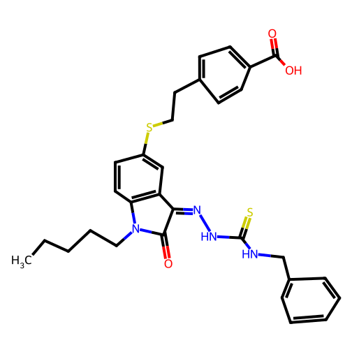 CCCCCN1C(=O)/C(=N\NC(=S)NCc2ccccc2)c2cc(SCCc3ccc(C(=O)O)cc3)ccc21